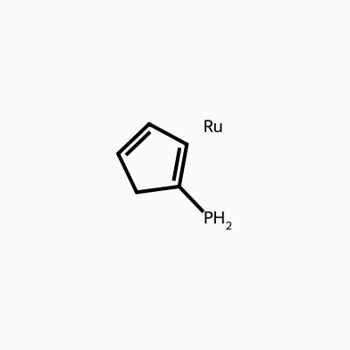 PC1=CC=CC1.[Ru]